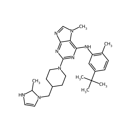 Cc1ccc(C(C)(C)C)cc1Nc1nc(N2CCC(CN3C=CNC3C)CC2)nc2ncn(C)c12